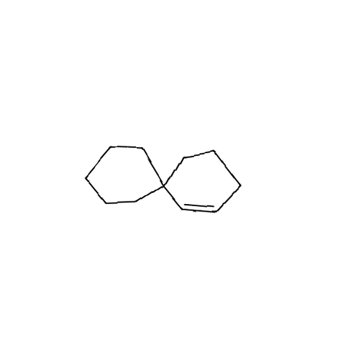 C1=CC2(CCC1)CCCCC2